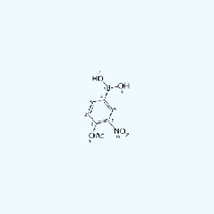 CC(=O)Oc1ccc(B(O)O)cc1[N+](=O)[O-]